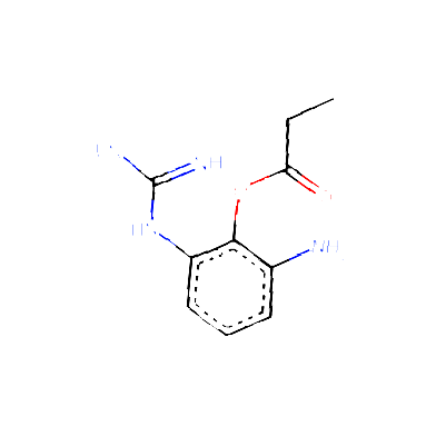 CCC(=O)Oc1c(N)cccc1NC(=N)N